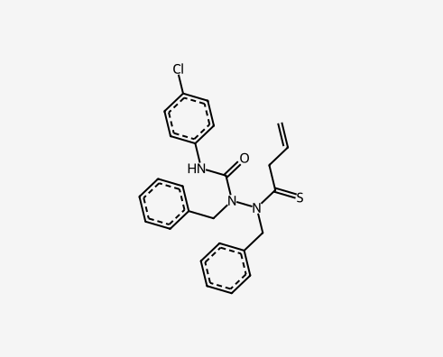 C=CCC(=S)N(Cc1ccccc1)N(Cc1ccccc1)C(=O)Nc1ccc(Cl)cc1